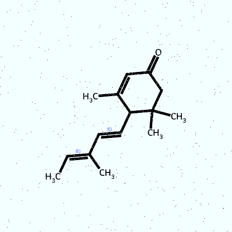 C/C=C(C)/C=C/C1C(C)=CC(=O)CC1(C)C